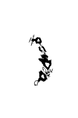 O=S(=O)(NC1CCC(CCN2CCN(c3cccc(C(F)(F)F)c3)CC2)CC1)c1ccc(Cl)cc1